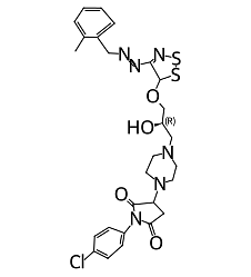 Cc1ccccc1CN=NC1=NSSC1OC[C@H](O)CN1CCN(C2CC(=O)N(c3ccc(Cl)cc3)C2=O)CC1